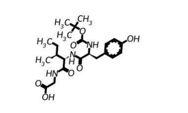 CC[C@H](C)[C@H](NC(=O)[C@H](Cc1ccc(O)cc1)NC(=O)OC(C)(C)C)C(=O)NCC(=O)O